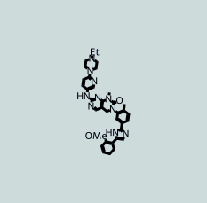 CCN1CCN(c2ccc(Nc3ncc4c(n3)N(C)C(=O)N(c3cc(-c5ncc(C6=C(OC)C=CCC6)[nH]5)ccc3C)C4)cn2)CC1